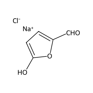 O=Cc1ccc(O)o1.[Cl-].[Na+]